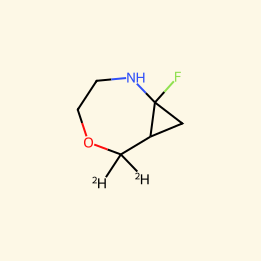 [2H]C1([2H])OCCNC2(F)CC21